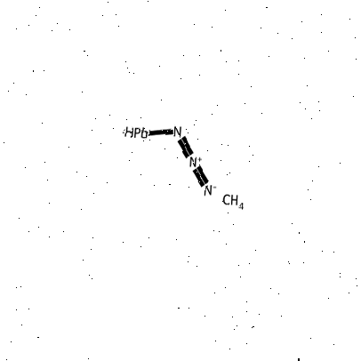 C.[N-]=[N+]=[N][PbH]